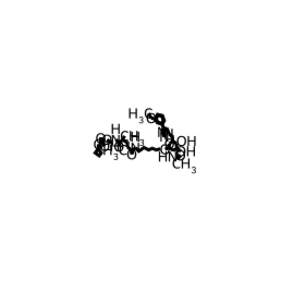 COc1cccc(-c2cn(CC3OC(OCCCCCCNC(=O)C(C)CC(C)C(=O)NCOP(=O)(O)OC4CCC4)C(NC(C)=O)C(O)C3O)nn2)c1